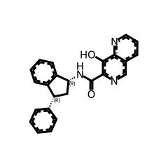 O=C(N[C@@H]1C[C@H](c2ccccc2)c2ccccc21)c1ncc2cccnc2c1O